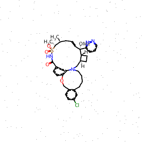 CO[C@@]1(c2cccnn2)/C=C/C[C@H](C)[C@@H](C)S(=O)(=O)NC(=O)c2ccc3c(c2)N(CCCCc2cc(Cl)ccc2CO3)C[C@@H]2CC[C@H]21